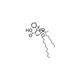 CCCCCCCCCCOC1(C(=O)C(C)CCCCCCC)C=CC(C(=O)O)=C(c2ccccc2)C1(F)F